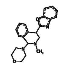 CN1CC(c2nc3ccccc3o2)c2ccccc2C1N1CCOCC1